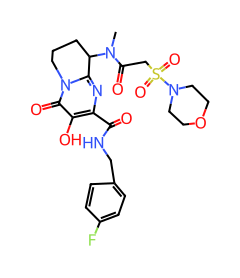 CN(C(=O)CS(=O)(=O)N1CCOCC1)C1CCCn2c1nc(C(=O)NCc1ccc(F)cc1)c(O)c2=O